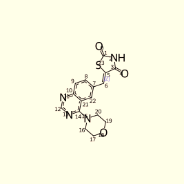 O=C1NC(=O)/C(=C/c2ccc3ncnc(N4CCOCC4)c3c2)S1